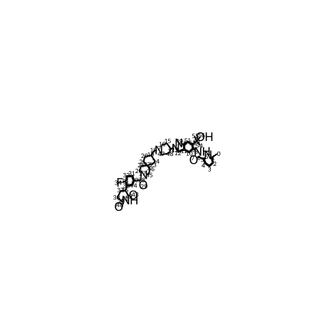 Cc1cccc(C(=O)Nc2cc3cn(C4CCN(CC5CCC6(CC5)CCN(C(=O)c5ccc(F)c(C7CCC(=O)NC7=O)c5)CC6)CC4)nc3cc2C(C)(C)O)n1